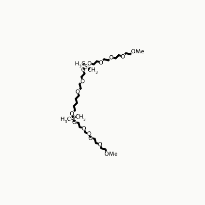 COCCOCCOCCOCCO[Si](C)(C)OCCOCCOCCCCCO[Si](C)(C)OCCOCOOCCOCCOC